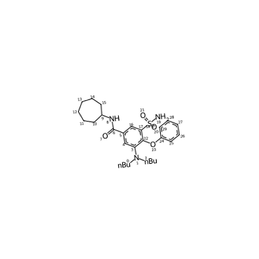 CCCCN(CCCC)c1cc(C(=O)NC2CCCCCC2)cc(S(N)(=O)=O)c1Oc1ccccc1